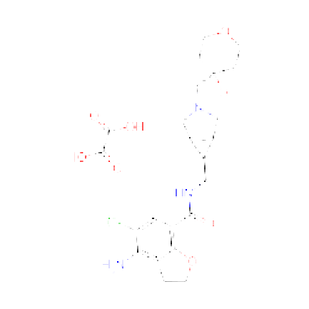 Nc1c(Cl)cc(C(=O)NCC2C3CN(CC4(O)CCOCC4)CC23)c2occc12.O=C(O)C(=O)O